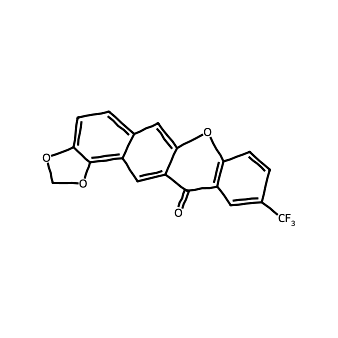 O=c1c2cc(C(F)(F)F)ccc2oc2cc3ccc4c(c3cc12)OCO4